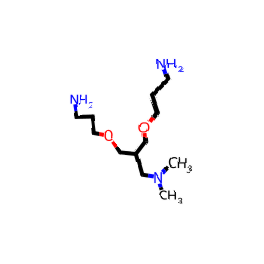 CN(C)CC(COCCCN)COCCCN